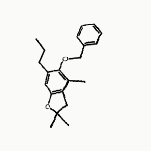 CCCc1cc2c(c(C)c1OCc1ccccc1)CC(C)(C)O2